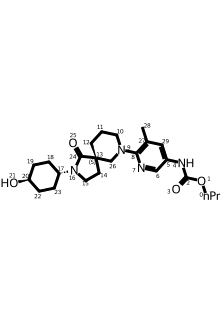 CCCOC(=O)Nc1cnc(N2CCC[C@]3(CCN([C@H]4CC[C@H](O)CC4)C3=O)C2)c(C)c1